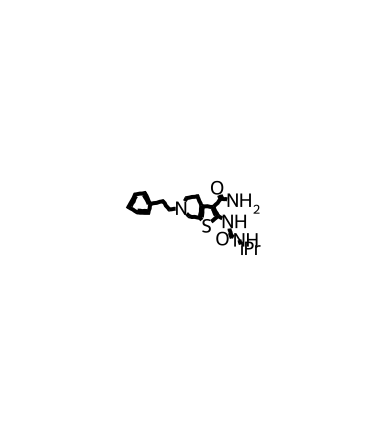 CC(C)NC(=O)Nc1sc2c(c1C(N)=O)CCN(CCc1ccccc1)C2